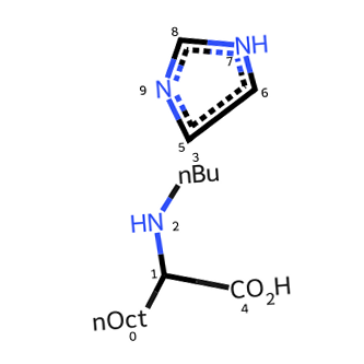 CCCCCCCCC(NCCCC)C(=O)O.c1c[nH]cn1